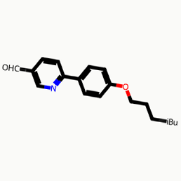 CCC(C)CCCOc1ccc(-c2ccc(C=O)cn2)cc1